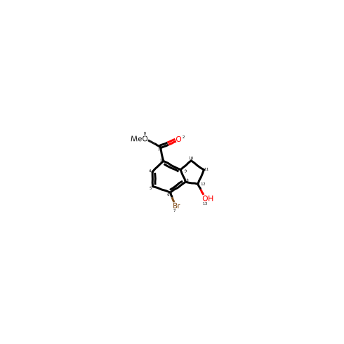 COC(=O)c1ccc(Br)c2c1CCC2O